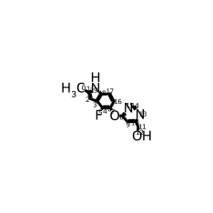 Cc1cc2c(F)c(Oc3cc(CO)ncn3)ccc2[nH]1